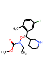 CCN(O[C@@H](c1cc(Cl)ccc1C)C1CCCNC1)C(=O)OC